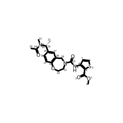 COC(=O)c1sccc1NC(=O)N1CCOc2ccc([C@@H](C)N(C)C(C)=O)cc2C1